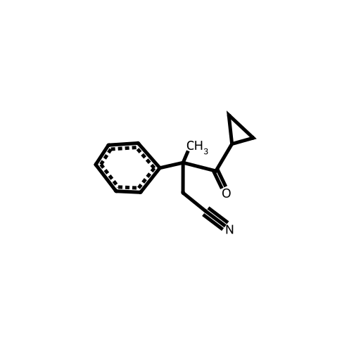 CC(CC#N)(C(=O)C1CC1)c1ccccc1